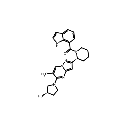 Cc1cn2nc([C@@H]3CCCCN3C(=O)c3cccc4cn[nH]c34)cc2nc1N1CC[C@@H](O)C1